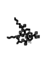 CCCCCOC(=O)Oc1ccc(CC(N)(C[C@H](C)OC(=O)OCC(C)CC)C(=O)O)cc1OC(=O)OCCCCC